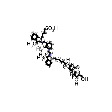 CC1(C)C(/C=C/C2=C(Cl)C(=C/C=C3/N(CCCCCC(=O)Nc4ccn(C5OC(CO)C(O)C5(F)F)c(=O)n4)c4ccccc4C3(C)C)/CCC2)=[N+](CCCCS(=O)(=O)O)c2ccccc21